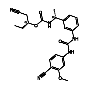 CC[C@@H](CC#N)OC(=O)N[C@H](C)c1cccc(NC(=O)Nc2ccc(C#N)c(OC)c2)c1